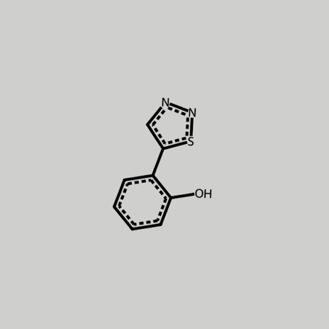 Oc1ccccc1-c1cnns1